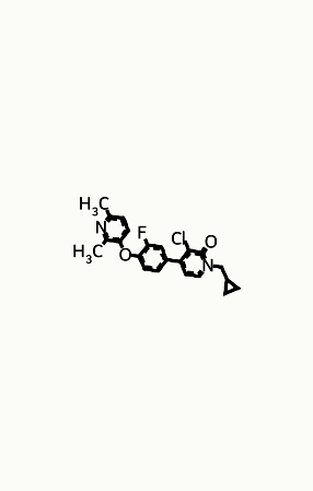 Cc1ccc(Oc2ccc(-c3ccn(CC4CC4)c(=O)c3Cl)cc2F)c(C)n1